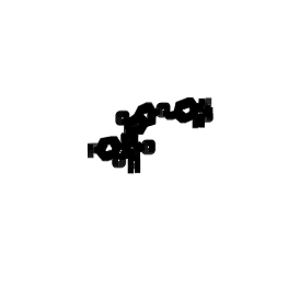 O=C1NC(=O)C(CN2Cc3cc(OCc4ccc5nsnc5c4)ccc3C2=O)(c2ccc(F)cc2)N1